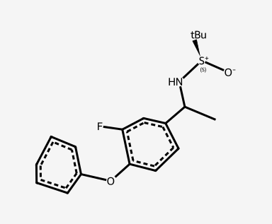 CC(N[S@+]([O-])C(C)(C)C)c1ccc(Oc2ccccc2)c(F)c1